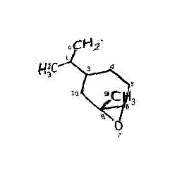 [CH2]C(C)C1CCC2OC2(C)C1